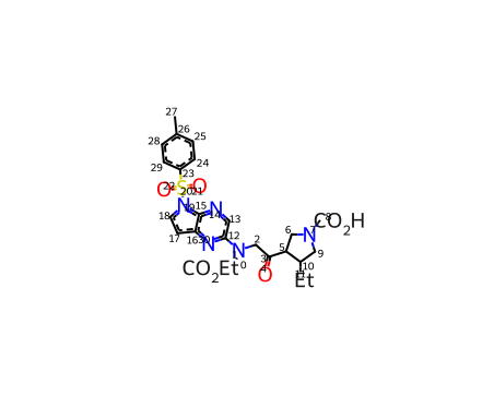 CCOC(=O)N(CC(=O)C1CN(C(=O)O)CC1CC)c1cnc2c(ccn2S(=O)(=O)c2ccc(C)cc2)n1